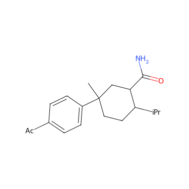 CC(=O)c1ccc(C2(C)CCC(C(C)C)C(C(N)=O)C2)cc1